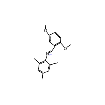 COc1ccc(OC)c(/C=N/c2c(C)cc(C)cc2C)c1